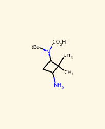 CC1(C)C(N)CC1N(C(=O)O)C(C)(C)C